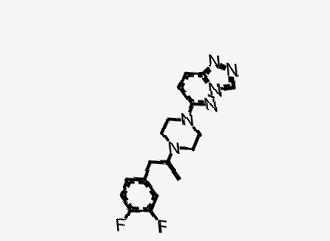 C=C(Cc1ccc(F)c(F)c1)N1CCN(c2ccc3nncn3n2)CC1